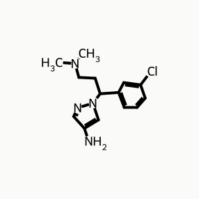 CN(C)CCC(c1cccc(Cl)c1)n1cc(N)cn1